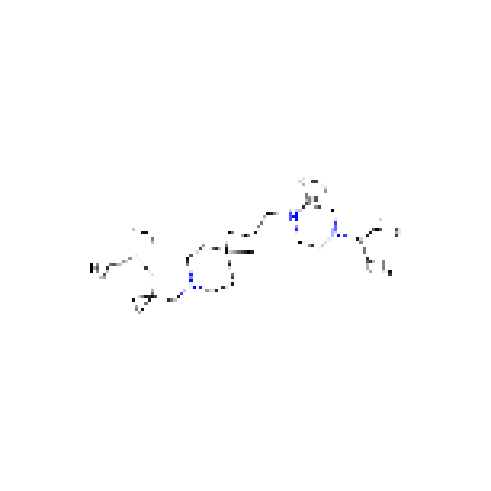 CC(C)CC1(CN2CCC3(CC2)CC(CN2CCN(C(C)C)C[C@H]2C)C3)CC1